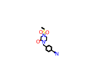 C=CS(=O)(=O)N1CCN(Cc2ccc(C#N)cc2)C(=O)C1